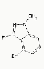 Cn1nc(F)c2c(Br)cccc21